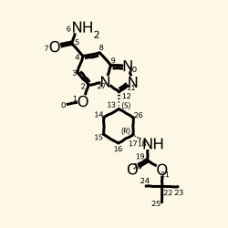 COc1cc(C(N)=O)cc2nnc([C@H]3CCC[C@@H](NC(=O)OC(C)(C)C)C3)n12